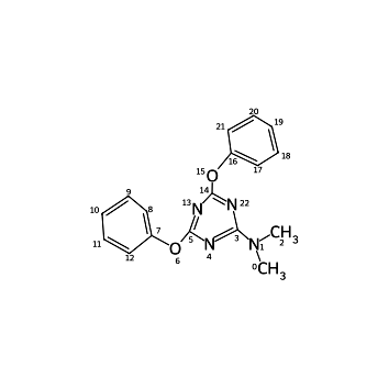 CN(C)c1nc(Oc2ccccc2)nc(Oc2ccccc2)n1